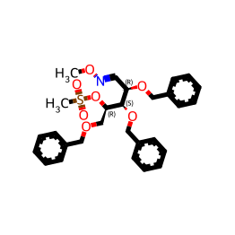 CON=C[C@@H](OCc1ccccc1)[C@H](OCc1ccccc1)[C@@H](COCc1ccccc1)OS(C)(=O)=O